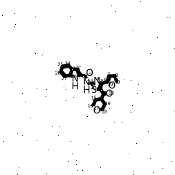 O=C(Nc1nc(C2=CCCO2)c(C(=O)C2CCOCC2)s1)C1=CC2C=CC=CC2N1